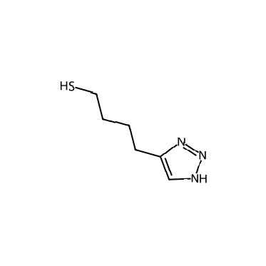 SCCCCc1c[nH]nn1